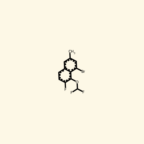 Cc1cc(Br)c2c(OC(F)F)c(F)ccc2c1